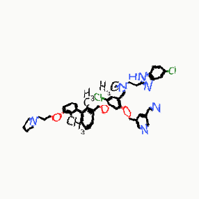 Cc1c(COc2cc(OCc3cncc(C#N)c3)c(CN(C)CCc3nc4cc(Cl)ccc4[nH]3)cc2Cl)cccc1-c1cccc(OCCCN2CCCC2)c1C